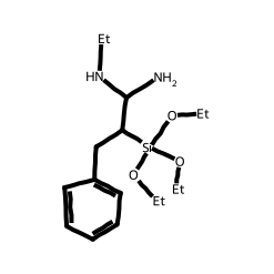 CCNC(N)C(Cc1ccccc1)[Si](OCC)(OCC)OCC